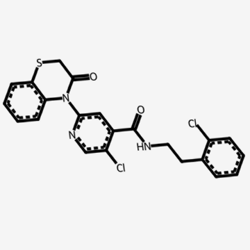 O=C(NCCc1ccccc1Cl)c1cc(N2C(=O)CSc3ccccc32)ncc1Cl